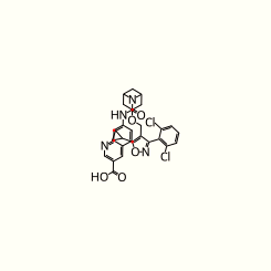 O=C(O)c1cnc2cc(NC(=O)N3C4CC(OCc5c(-c6c(Cl)cccc6Cl)noc5C5CC5)CC3C4)ccc2c1